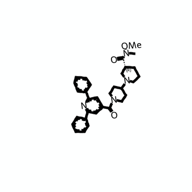 CON(C)C(=O)[C@@H]1CCCN(C2CCN(C(=O)c3cc(-c4ccccc4)nc(-c4ccccc4)c3)CC2)C1